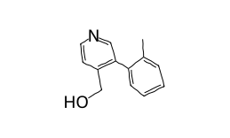 Cc1ccccc1-c1cnccc1CO